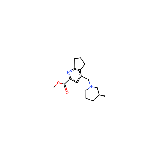 COC(=O)c1cc(CN2CCC[C@H](C)C2)c2c(n1)CCC2